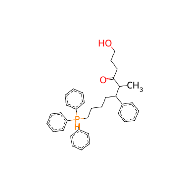 CC(C(=O)CCCO)C(CCCC[PH](c1ccccc1)(c1ccccc1)c1ccccc1)c1ccccc1